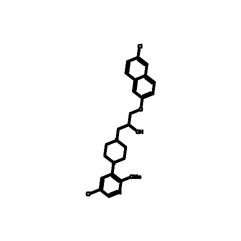 COc1ncc(Cl)cc1N1CCN(CC(O)COc2ccc3cc(Cl)ccc3c2)CC1